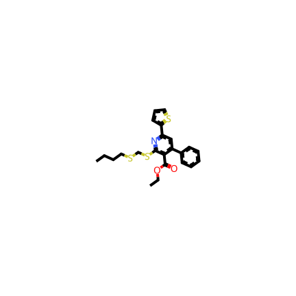 CCCCSCSc1nc(-c2cccs2)cc(-c2ccccc2)c1C(=O)OCC